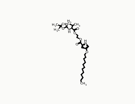 CCCCCCCCCCCCOc1c[nH]c(C(=O)OCCOC(=O)[C@@H](NC(=O)OC(C)(C)C)C(C)C)c1